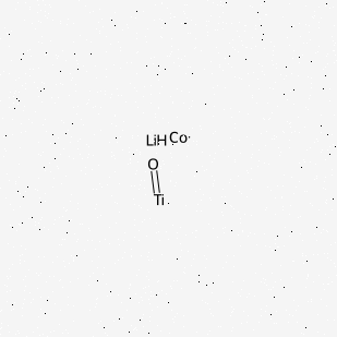 [Co].[LiH].[O]=[Ti]